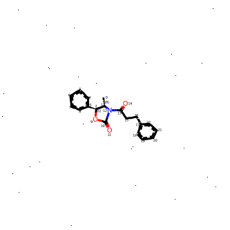 C[C@@H]1[C@H](c2ccccc2)OC(=O)N1C(=O)CCc1ccccc1